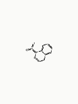 O=S(=O)=C1N=CCc2ccccc21